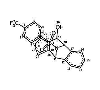 O=S(=O)(c1ccc(C(F)(F)F)nc1)N1C2c3ccccc3C1C(O)c1[nH]ncc12